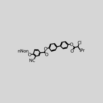 CCCCCCCCCOc1ccc(C(=O)Oc2ccc(-c3ccc(OC(=O)C(Cl)C(C)C)cc3)cc2)cc1C#N